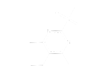 Cc1nc(S(C)(=O)=O)nc(C)c1CI